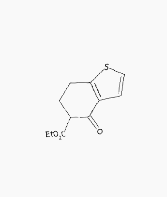 CCOC(=O)C1CCc2sccc2C1=O